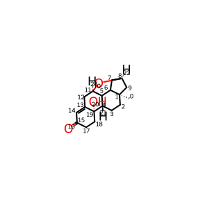 C[C@]12CC[C@H]3C4C1C[C@@H](C2)O[C@@H]4CC1=CC(=O)CC[C@@]13O